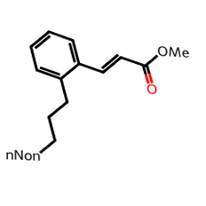 CCCCCCCCCCCCc1ccccc1C=CC(=O)OC